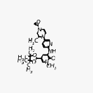 C[C@H]1CN([C@@H]2CO2)CCN1c1ccc(Nc2cc(C3OC(C)(C)C(C)(C)O3)cn(C)c2=O)nc1